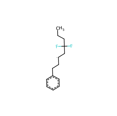 CCCC(F)(F)C[CH]CCc1ccccc1